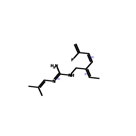 C=C(F)/C=C\C(=C/C)CN/C(N)=N/C=C(C)C